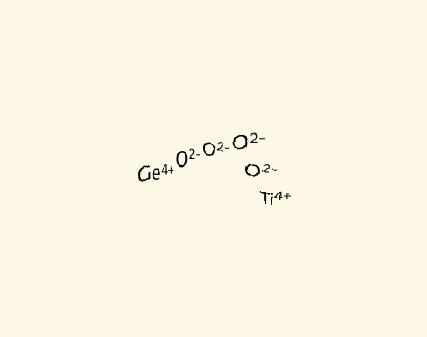 [Ge+4].[O-2].[O-2].[O-2].[O-2].[Ti+4]